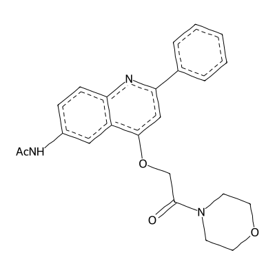 CC(=O)Nc1ccc2nc(-c3ccccc3)cc(OCC(=O)N3CCOCC3)c2c1